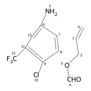 C=CCOC=O.Nc1ccc(Cl)c(C(F)(F)F)c1